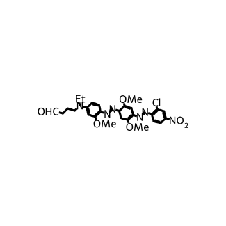 CCN(CCCC=O)c1ccc(/N=N/C2CC(OC)=C(/N=N/c3ccc([N+](=O)[O-])cc3Cl)C=C2OC)c(OC)c1